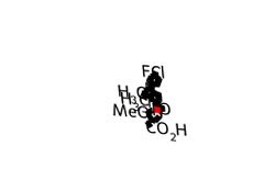 CO[C@@H]1CN(C(=O)c2ccc3c(n2)C(C)(C)CN3c2ccc(Cl)c(F)c2)CC[C@H]1CC(=O)O